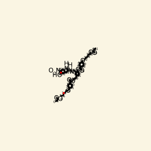 C=CC(=O)OCCCCCOc1ccc(C(=O)OCCc2ccc(OC(=O)c3ccc(OCCCCCOC(=O)C=C)cc3)c(/C=N/Nc3cc4cc(O)c([N+](=O)[O-])cc4[nH]3)c2)cc1